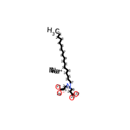 CCCCCCCCCCCCCCCCCCN(CCC(=O)[O-])CCC(=O)[O-].[Na+].[Na+]